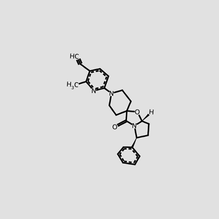 C#Cc1ccc(N2CCC3(CC2)O[C@@H]2CC[C@@H](c4ccccc4)N2C3=O)nc1C